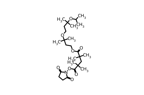 CC(C)OC(C)(C)CCOC(C)(C)CCOC(=O)C(C)(C)CC(C)(C)C(=O)ON1C(=O)CCC1=O